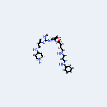 C=N/C(=N\C(C)=C/CNC1CCNCC1)NCc1coc(CCCNCCCNC2CCCCC2)n1